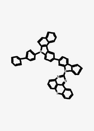 c1ccc(-c2ccc(-n3c4ccc(-c5ccc6c7ccccc7n(-c7nc8c9c(cccc9n7)Sc7ccccc7-8)c6c5)cc4c4c5ccccc5ccc43)cc2)cc1